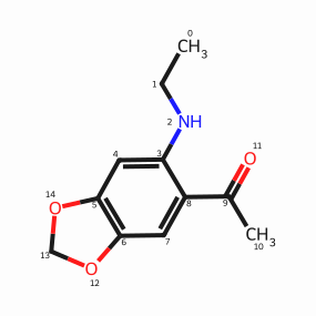 CCNc1cc2c(cc1C(C)=O)OCO2